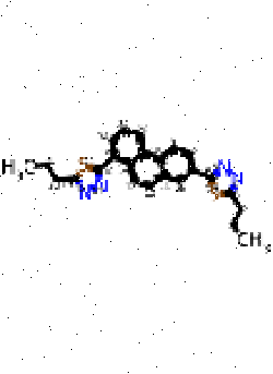 CCCc1nnc(-c2ccc3c(ccc4c(-c5nnc(CCC)s5)cccc43)c2)s1